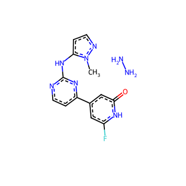 Cn1nccc1Nc1nccc(-c2cc(F)[nH]c(=O)c2)n1.NN